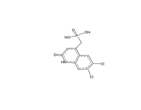 O=c1cc(CP(=O)(O)O)c2cc(Cl)c(Cl)cc2[nH]1